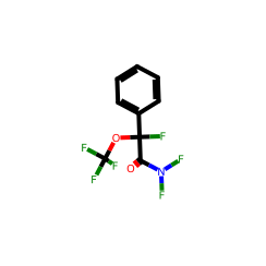 O=C(N(F)F)C(F)(OC(F)(F)F)c1ccccc1